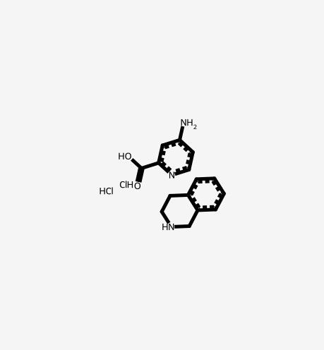 Cl.Cl.Nc1ccnc(C(=O)O)c1.c1ccc2c(c1)CCNC2